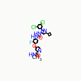 CNC(=O)c1cc(Oc2ccc(NC(=O)Nc3cc(C4CCC4)nn3-c3cc(Cl)cc(Cl)c3)cc2F)ccn1